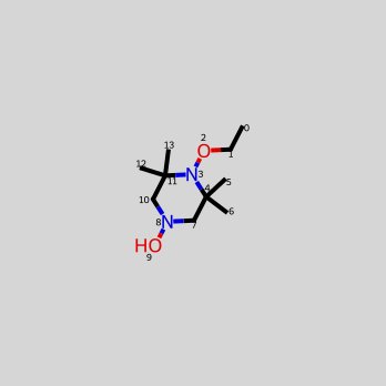 CCON1C(C)(C)CN(O)CC1(C)C